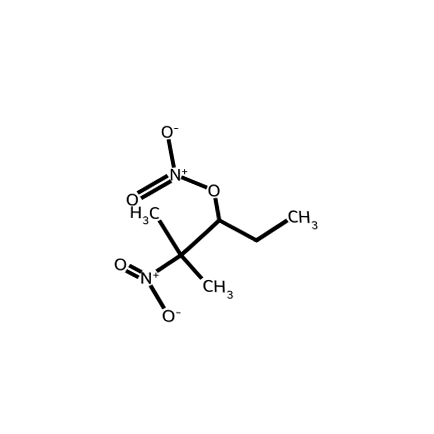 CCC(O[N+](=O)[O-])C(C)(C)[N+](=O)[O-]